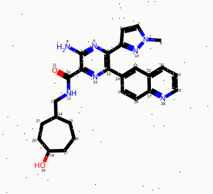 Cn1ccc(-c2nc(N)c(C(=O)NCC3CCCC(O)CC3)nc2-c2ccc3ncccc3c2)n1